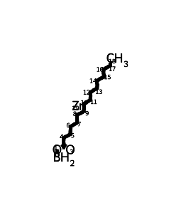 BOC(=O)CCCCCCCCCCCCCCC.[Zn]